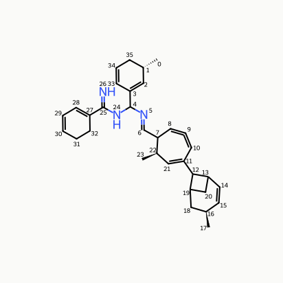 C[C@@H]1C=C(C(/N=C/C2C=C=CC(C3C4C=C[C@@H](C)CC3C4)=C[C@H]2C)NC(=N)C2=CC=CCC2)C=CC1